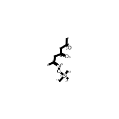 CC(=O)CC(=O)CC(C)=NO[Si](C)(C)C